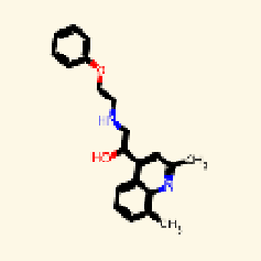 Cc1cc(C(O)CNCCOc2ccccc2)c2cccc(C)c2n1